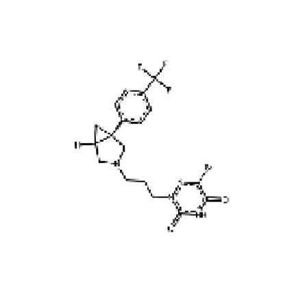 O=c1[nH]c(=O)n(CCCN2C[C@@H]3C[C@]3(c3ccc(C(F)(F)F)cc3)C2)nc1Br